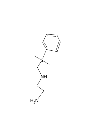 CS(C)(CNCCN)c1ccccc1